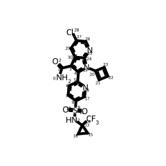 NC(=O)c1c(-c2ccc(S(=O)(=O)NC3(C(F)(F)F)CC3)cn2)n(C2=CC=C2)c2ncc(Cl)cc12